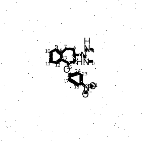 CNN(NC)C1CCc2ccccc2C(Oc2ccc([N+](=O)[O-])cc2)C1